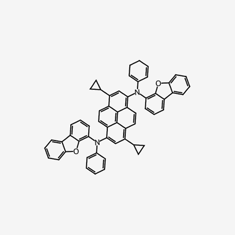 C1=CC(N(c2cc(C3CC3)c3ccc4c(N(c5ccccc5)c5cccc6c5oc5ccccc56)cc(C5CC5)c5ccc2c3c54)c2cccc3c2oc2ccccc23)=CCC1